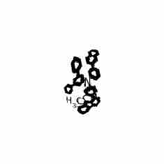 CC1(C)c2ccccc2-c2cccc(-c3ccc(N(c4cccc(-c5ccc6ccccc6c5)c4)c4cc(-c5ccccc5)cc(-c5ccccc5)c4)cc3)c21